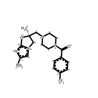 C[C@]1(CN2CCN(C(=O)c3ccc(C(F)(F)F)cc3)CC2)Cn2cc([N+](=O)[O-])nc2O1